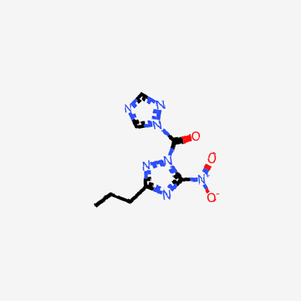 CCCc1nc([N+](=O)[O-])n(C(=O)n2cncn2)n1